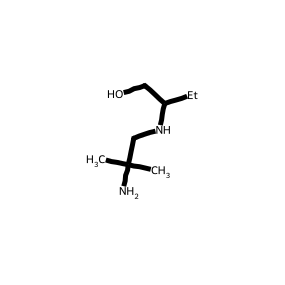 CCC(CO)NCC(C)(C)N